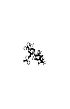 CC(=O)OCC1CN(C(=O)O)CCN1c1ncc(C(F)(F)F)c(C)c1Br